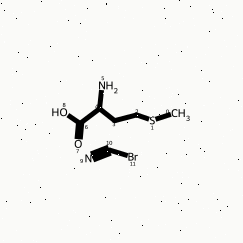 CSCCC(N)C(=O)O.N#CBr